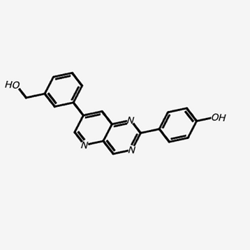 OCc1cccc(-c2cnc3cnc(-c4ccc(O)cc4)nc3c2)c1